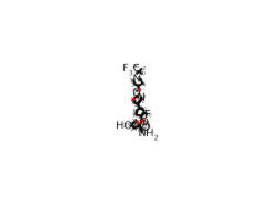 CC(C)(CN1CCC(COc2ccc(-c3ccc(C(=O)N4CC(O)CC4C(N)=O)c(F)c3)cn2)CC1)C(F)(F)F